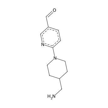 NCC1CCN(c2ccc(C=O)cn2)CC1